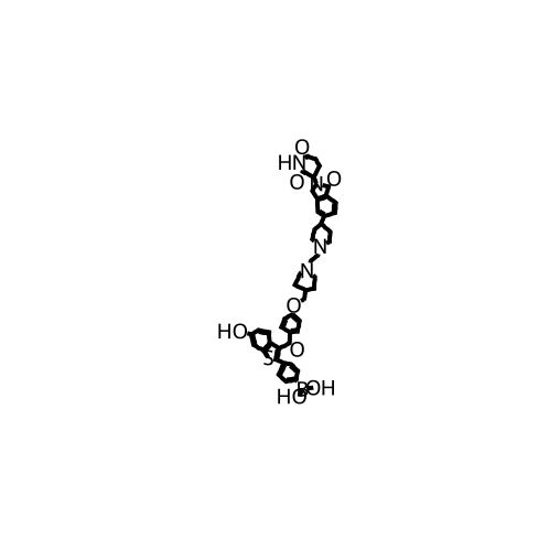 O=C1CCC(N2Cc3cc(C4CCN(CCN5CCC(COc6ccc(C(=O)c7c(-c8ccc(B(O)O)cc8)sc8cc(O)ccc78)cc6)CC5)CC4)ccc3C2=O)C(=O)N1